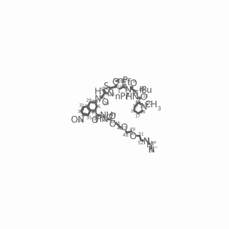 CCCO[C@H](C[C@H](CC)N(CCC)C(=O)[C@@H](NC(=O)[C@H]1CCCCN1C)[C@@H](C)CC)c1nc(C(=O)N[C@H]2Cc3ccc(N=O)cc3[C@H](C(=O)NNC(=O)OCCOCCOCCN=[N+]=[N-])C2)cs1